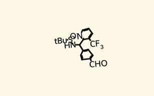 CC(C)(C)[S+]([O-])NC(c1ccc(C=O)cc1)c1ncccc1C(F)(F)F